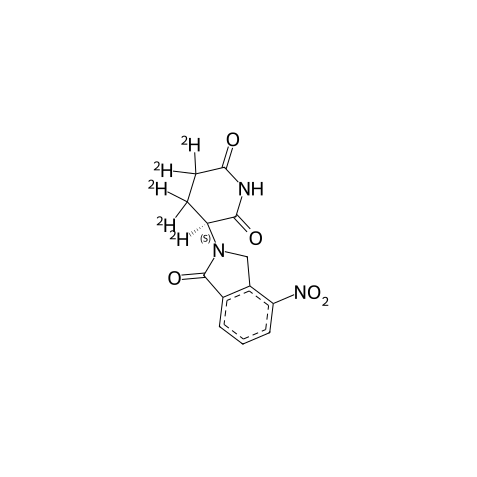 [2H]C1([2H])C(=O)NC(=O)[C@@]([2H])(N2Cc3c(cccc3[N+](=O)[O-])C2=O)C1([2H])[2H]